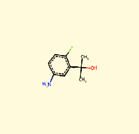 CC(C)(O)c1cc(N)ccc1F